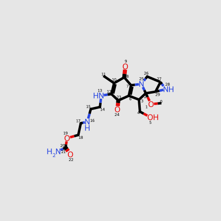 COC12C(CO)C3=C(C(=O)C(C)=C(NCCNCCOC(N)=O)C3=O)N1CC1NC12